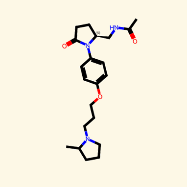 CC(=O)NC[C@@H]1CCC(=O)N1c1ccc(OCCCN2CCCC2C)cc1